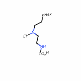 CCCCCCCCN(CC)CCNC(=O)O